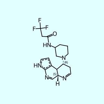 O=C(CC(F)(F)F)NC1CCCN([C@@H]2CC=N[C@@H]3C=Nc4[nH]ccc4C23)C1